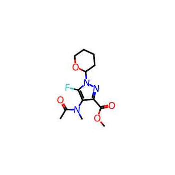 COC(=O)c1nn(C2CCCCO2)c(F)c1N(C)C(C)=O